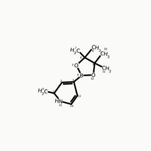 CC1C=C(B2OC(C)(C)C(C)(C)O2)C=CN1